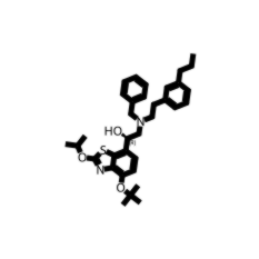 CCCc1cccc(CCN(Cc2ccccc2)C[C@H](O)c2ccc(OC(C)(C)C)c3nc(OC(C)C)sc23)c1